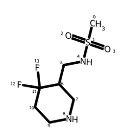 CS(=O)(=O)NCC1CNCCC1(F)F